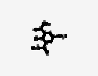 COC(=O)c1cc(S(=O)(=O)O)cc(C(=O)OC)c1Cl